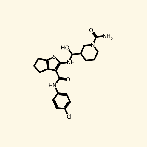 NC(=O)N1CCCC(C(O)Nc2sc3c(c2C(=O)Nc2ccc(Cl)cc2)CCC3)C1